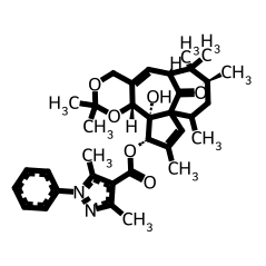 CC1=CC23C(=O)[C@@H](C=C4COC(C)(C)O[C@H]4[C@]2(O)[C@H]1OC(=O)c1c(C)nn(-c2ccccc2)c1C)C(C)(C)[C@@H](C)CC3C